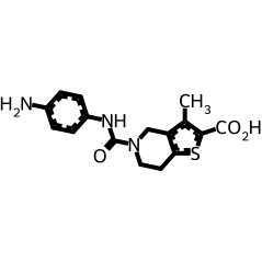 Cc1c(C(=O)O)sc2c1CN(C(=O)Nc1ccc(N)cc1)CC2